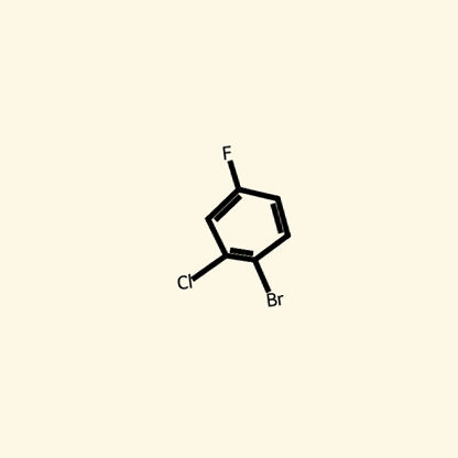 Fc1ccc(Br)c(Cl)c1